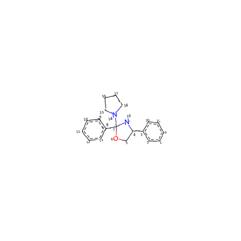 c1ccc(C2COC(c3ccccc3)(N3CCCC3)[N]2)cc1